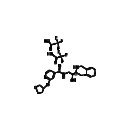 O=C(NCC(O)[C@@H]1Cc2ccccc2CN1)c1ccnc(OC2CCOC2)c1.O=C(O)C(F)(F)F.O=C(O)C(F)(F)F